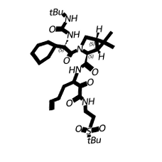 C=CCCC(NC(=O)[C@@H]1[C@@H]2[C@H](CN1C(=O)[C@@H](NC(=O)NC(C)(C)C)C1CCCCC1)C2(C)C)C(=O)C(=O)NCCS(=O)(=O)C(C)(C)C